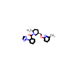 Cc1cccc(OC[C@@H]2CC[C@H](C)N(C(=O)c3ccccc3-n3nccn3)C2)n1